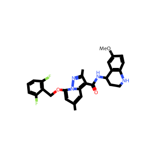 COc1ccc2c(c1)C(NC(=O)c1c(C)nn3c(OCc4c(F)cccc4F)cc(C)cc13)CCN2